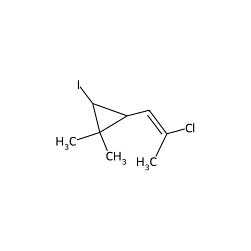 C/C(Cl)=C\C1C(I)C1(C)C